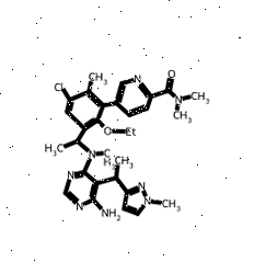 CCOc1c(C(C)N(C)c2ncnc(N)c2C(C)c2ccn(C)n2)cc(Cl)c(C)c1-c1ccc(C(=O)N(C)C)nc1